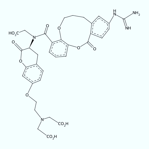 N=C(N)Nc1ccc2c(c1)CCCOc1c(cccc1C(=O)N(CC(=O)O)[C@H]1Cc3ccc(OCCN(CC(=O)O)CC(=O)O)cc3OC1=O)OC2=O